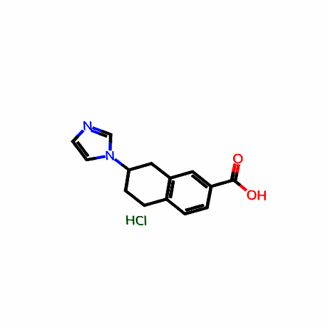 Cl.O=C(O)c1ccc2c(c1)CC(n1ccnc1)CC2